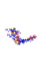 CCSc1nnc(N)s1.CS(=O)(=O)c1cc([N+](=O)[O-])c(N)s1.Cc1nn(-c2ccccc2)c(N)c1C#N.N#Cc1cc([N+](=O)[O-])sc1N.Nc1nc2ccc([N+](=O)[O-])cc2s1.Nc1nc2ccccc2s1.Nc1ncc([N+](=O)[O-])s1.Nc1nnc(-c2ccccc2)s1.Nc1sc([N+](=O)[O-])cc1[N+](=O)[O-]